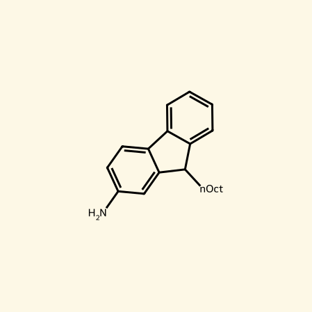 CCCCCCCCC1c2ccccc2-c2ccc(N)cc21